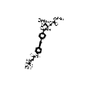 COC(=O)[C@H](CNC(=O)OC(C)(C)C)NC(=O)c1ccc(C#Cc2ccc(NC(=O)CNC(=O)OC(C)(C)C)cc2)cc1